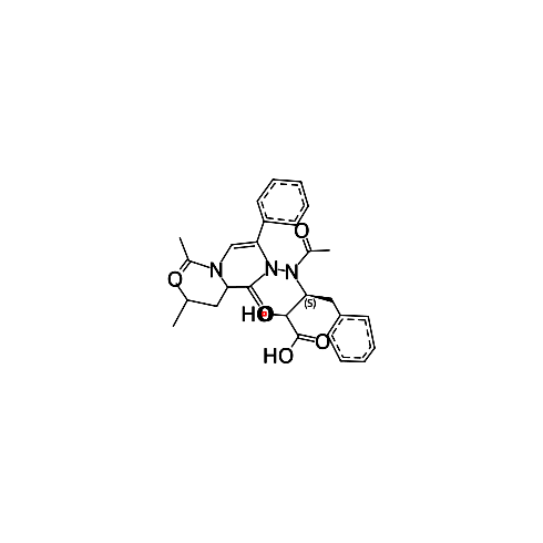 CC(=O)N1C=C(c2ccccc2)N(N(C(C)=O)[C@@H](Cc2ccccc2)C(O)C(=O)O)C(=O)C1CC(C)C